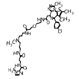 Cc1sc2c(c1C)C(c1ccc(Cl)cc1)=N[C@@H](CC(=O)NCCOCCC(=O)NCCCN(C)CCCNC(=O)CCNC(=O)c1nccn1C)c1nnc(C)n1-2